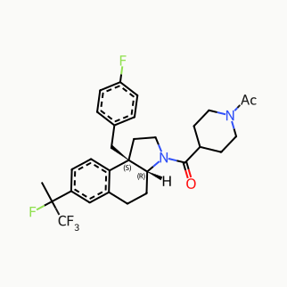 CC(=O)N1CCC(C(=O)N2CC[C@@]3(Cc4ccc(F)cc4)c4ccc(C(C)(F)C(F)(F)F)cc4CC[C@@H]23)CC1